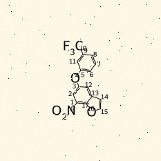 O=[N+]([O-])c1cc(Oc2cccc(C(F)(F)F)c2)cc2ccoc12